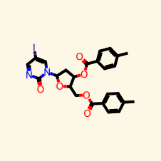 Cc1ccc(C(=O)OCC2OC(n3cc(I)cnc3=O)CC2OC(=O)c2ccc(C)cc2)cc1